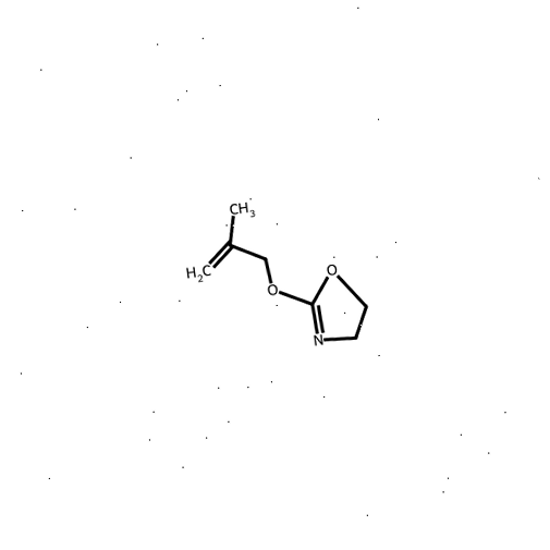 C=C(C)COC1=NCCO1